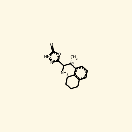 C[C@H](c1cccc2c1CCCC2)C(N)c1n[nH]c(=O)o1